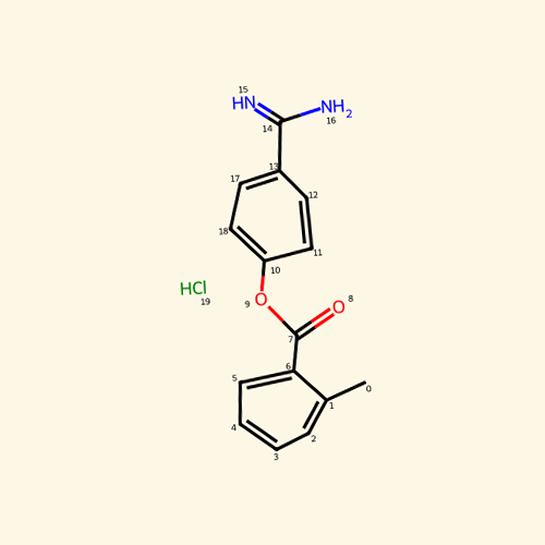 Cc1ccccc1C(=O)Oc1ccc(C(=N)N)cc1.Cl